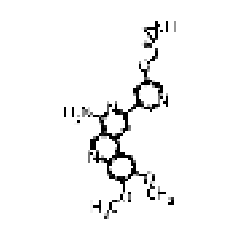 COc1cc2ncc3c(N)nc(-c4cncc(OC[C@H]5CN5)c4)cc3c2cc1OC